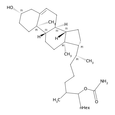 CCCCCCC(OC(N)=O)C(C)CCC[C@@H](C)[C@H]1CC[C@H]2[C@@H]3CC=C4C[C@@H](O)CC[C@]4(C)[C@H]3CC[C@]12C